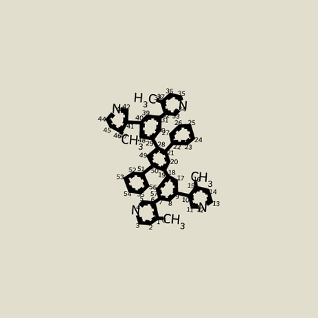 Cc1ccncc1-c1cc(-c2cnccc2C)cc(-c2cc(-c3ccccc3)c(-c3cc(-c4cnccc4C)cc(-c4cnccc4C)c3)cc2-c2ccccc2)c1